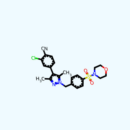 Cc1nn(Cc2ccc(S(=O)(=O)N3CCOCC3)cc2)c(C)c1-c1ccc(C#N)c(Cl)c1